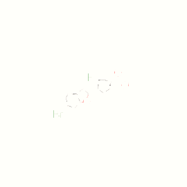 Fc1cc(C2OCCCO2)ccc1-c1cc2ccc(Br)cc2o1